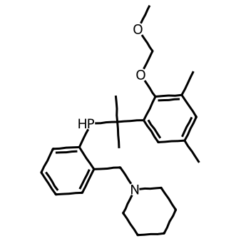 COCOc1c(C)cc(C)cc1C(C)(C)Pc1ccccc1CN1CCCCC1